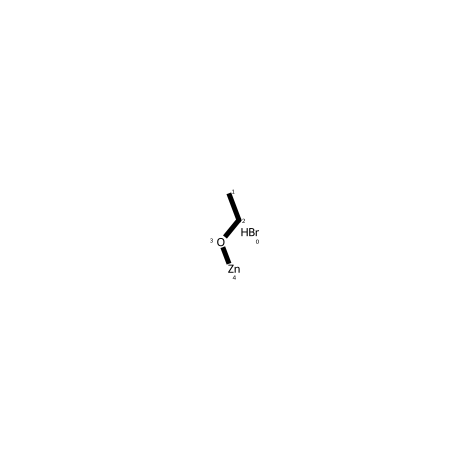 Br.CC[O][Zn]